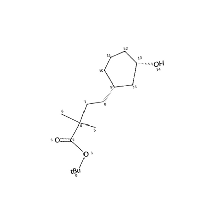 CC(C)(C)OC(=O)C(C)(C)CC[C@@H]1CCC[C@H](O)C1